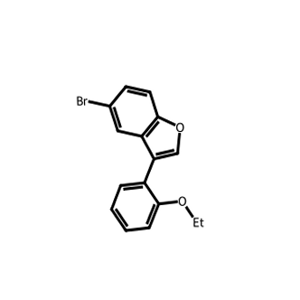 CCOc1ccccc1-c1coc2ccc(Br)cc12